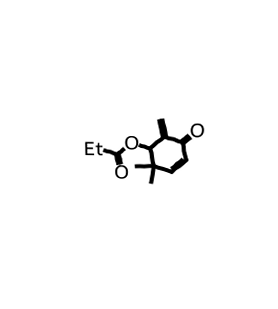 C=C1C(=O)C=CC(C)(C)C1OC(=O)CC